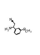 COc1cccc(C(N)CC#N)c1